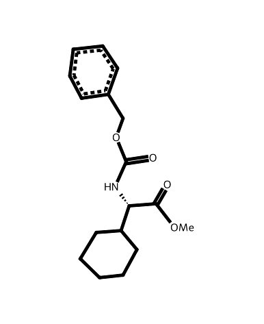 COC(=O)[C@@H](NC(=O)OCc1ccccc1)C1CCCCC1